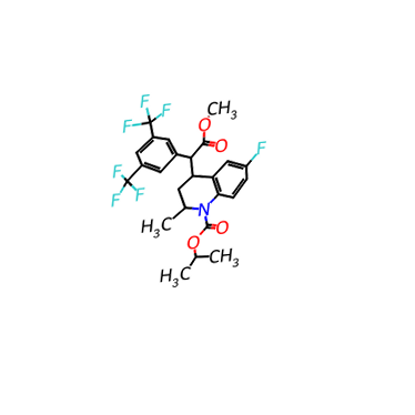 COC(=O)C(c1cc(C(F)(F)F)cc(C(F)(F)F)c1)C1CC(C)N(C(=O)OC(C)C)c2ccc(F)cc21